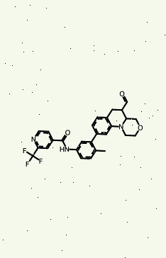 Cc1ccc(NC(=O)c2ccnc(C(F)(F)F)c2)cc1-c1ccc2c(c1)N1CCOCC1C(C=O)C2